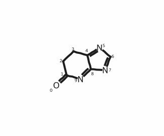 O=C1CCC2=NC=NC2=N1